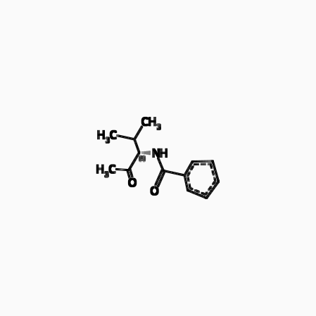 CC(=O)[C@@H](NC(=O)c1ccccc1)C(C)C